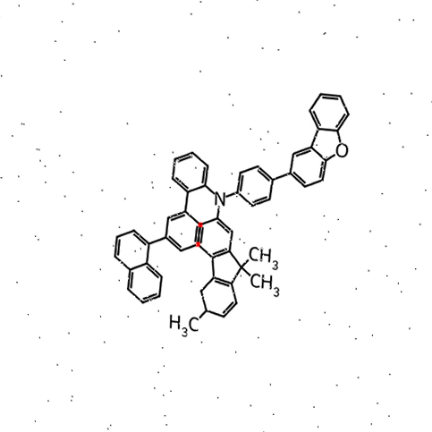 CC1C=CC2=C(C1)c1ccc(N(c3ccc(-c4ccc5oc6ccccc6c5c4)cc3)c3ccccc3-c3cccc(-c4cccc5ccccc45)c3)cc1C2(C)C